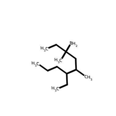 BC(C)(CC)CC(C)C(CC)CCC